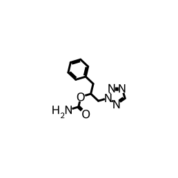 NC(=O)OC(Cc1ccccc1)Cn1ncnn1